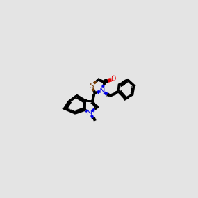 Cn1cc(C2SCC(=O)N2Cc2ccccc2)c2ccccc21